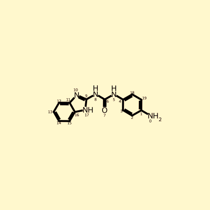 Nc1ccc(NC(=O)Nc2nc3ccccc3[nH]2)cc1